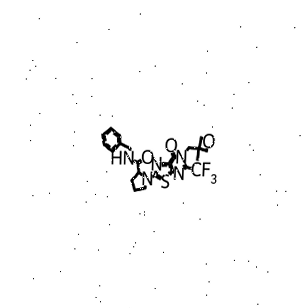 CC1(Cn2c(C(F)(F)F)nc3sc(N4CCCC4C(=O)NCc4ccccc4)nc3c2=O)COC1